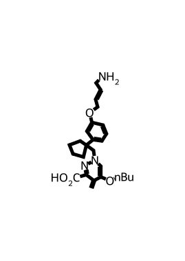 C=C1C(OCCCC)=CN(CC2(c3cccc(OC/C=C/CN)c3)CCCC2)N=C1C(=O)O